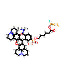 CCN(CC)C(=O)c1ccc(P(=O)(O)OCCCCCC(=O)OP(F)P)cc1C1=c2cc3c4c(c2Oc2c1cc1c5c2CCCN5CCC1)CCC[N+]=4CCC3